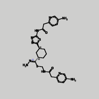 N/N=C(\SCNC(=O)Cc1ccc(N)cn1)[C@H]1CCC[C@H](c2nnc(NC(=O)Cc3ccc(N)cn3)s2)C1